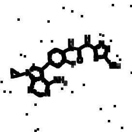 CC(C)(C)c1nnc(NC(=O)Nc2ccc(-c3cn(C4CC4)c4ncnc(N)c34)cc2F)s1